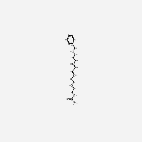 NC(=O)OCCOCCOCCOCCCOCc1ccccc1